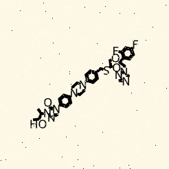 CC(O)C(C)n1ncn(-c2ccc(N3CCN(c4ccc(CSC5COC(Cn6cncn6)(c6ccc(F)cc6F)O5)cc4)CC3)cc2)c1=O